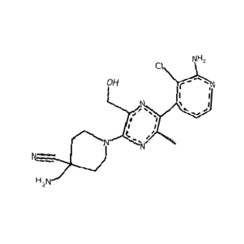 Cc1nc(N2CCC(C#N)(CN)CC2)c(CO)nc1-c1ccnc(N)c1Cl